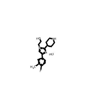 Cc1cc(-c2cn(CCO)c(C3CCNCC3)n2)ccc1F.Cl